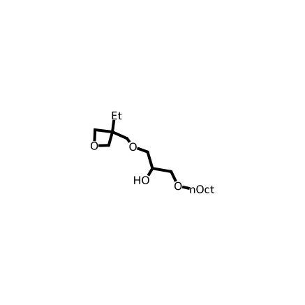 CCCCCCCCOCC(O)COCC1(CC)COC1